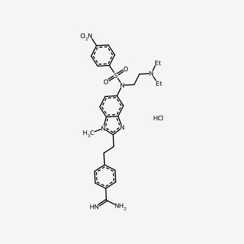 CCN(CC)CCN(c1ccc2c(c1)nc(CCc1ccc(C(=N)N)cc1)n2C)S(=O)(=O)c1ccc([N+](=O)[O-])cc1.Cl